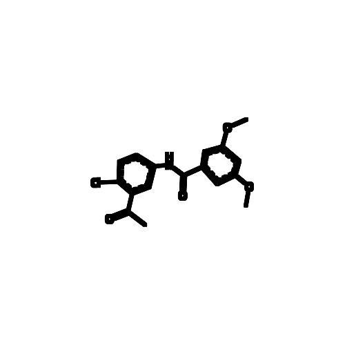 COc1cc(OC)cc(C(=O)Nc2ccc(Cl)c(C(C)=O)c2)c1